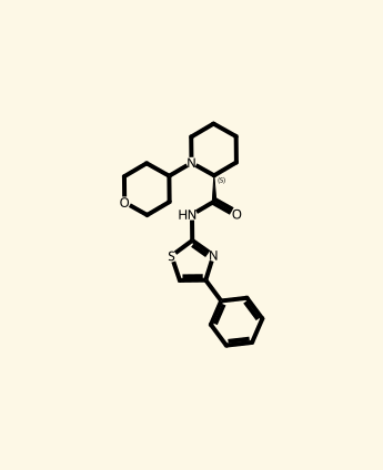 O=C(Nc1nc(-c2ccccc2)cs1)[C@@H]1CCCCN1C1CCOCC1